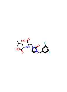 CC(C)CC(NC(Cn1ccn(Cc2cc(F)cc(F)c2)c1=O)C(=O)O)C(=O)O